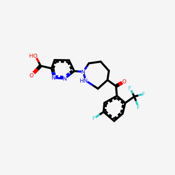 O=C(O)c1ccc(N2CCCC(C(=O)c3cc(F)ccc3C(F)(F)F)CN2)nn1